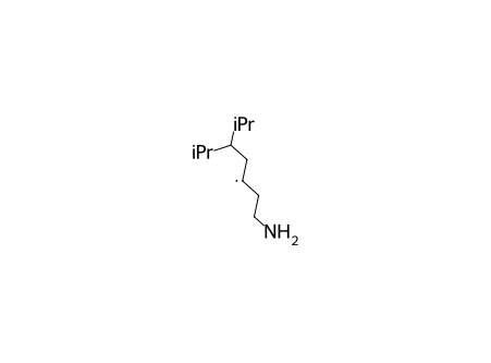 CC(C)C(C[CH]CCN)C(C)C